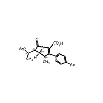 CC(=O)O[C@H](C)[C@H]1C(=O)N2C(C(=O)O)=C(c3ccc(C(C)=O)cc3)[C@H](C)[C@H]12